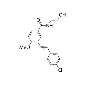 COc1ccc(C(=O)NCCO)cc1/C=C/c1ccc(Cl)cc1